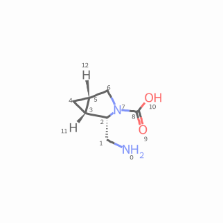 NC[C@@H]1[C@@H]2C[C@@H]2CN1C(=O)O